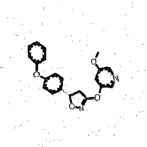 COc1cncc(OC2=NO[C@H](c3ccc(Oc4ccccc4)cc3)C2)c1